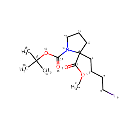 COC(=O)C1(CCCCI)CCCN1C(=O)OC(C)(C)C